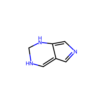 C1=NC=C2NCNC=C12